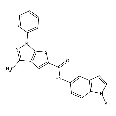 CC(=O)n1ccc2cc(NC(=O)c3cc4c(C)nn(-c5ccccc5)c4s3)ccc21